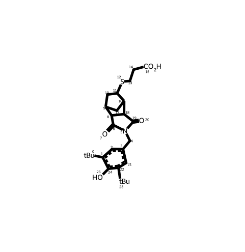 CC(C)(C)c1cc(CN2C(=O)C3C4CC(SCCC(=O)O)C(C4)C3C2=O)cc(C(C)(C)C)c1O